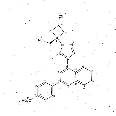 N#CC[C@]1(n2ncc(-c3cc(-c4ccc(C(=O)O)cc4)cc4ncccc34)n2)C[C@@H](C#N)C1